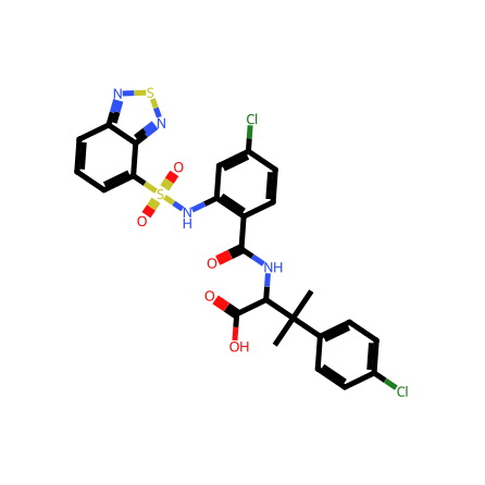 CC(C)(c1ccc(Cl)cc1)C(NC(=O)c1ccc(Cl)cc1NS(=O)(=O)c1cccc2nsnc12)C(=O)O